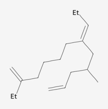 C=CCC(C)CC(=CCC)CCCCC(=C)CC